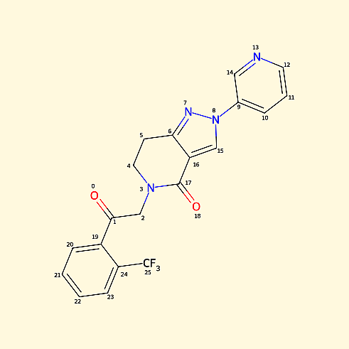 O=C(CN1CCc2nn(-c3cccnc3)cc2C1=O)c1ccccc1C(F)(F)F